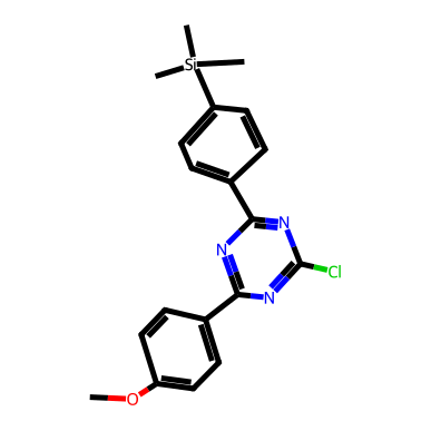 COc1ccc(-c2nc(Cl)nc(-c3ccc([Si](C)(C)C)cc3)n2)cc1